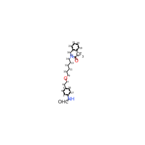 O=CNc1ccc(CCOCCCCCCN(Cc2ccccc2)C(=O)C(F)(F)F)cc1